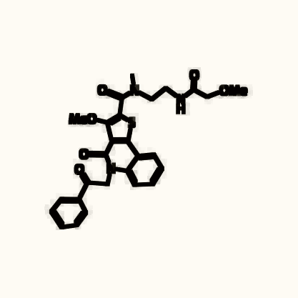 COCC(=O)NCCN(C)C(=O)c1sc2c(c1OC)c(=O)n(CC(=O)c1ccccc1)c1ccccc21